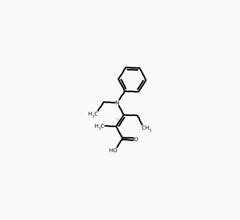 CC/C(=C(/C)C(=O)O)N(CC)c1ccccc1